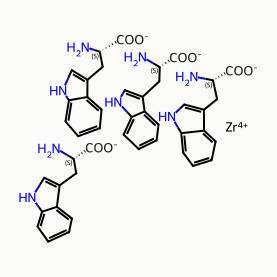 N[C@@H](Cc1c[nH]c2ccccc12)C(=O)[O-].N[C@@H](Cc1c[nH]c2ccccc12)C(=O)[O-].N[C@@H](Cc1c[nH]c2ccccc12)C(=O)[O-].N[C@@H](Cc1c[nH]c2ccccc12)C(=O)[O-].[Zr+4]